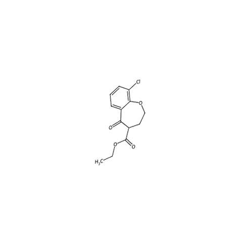 CCOC(=O)C1CCOc2c(Cl)cccc2C1=O